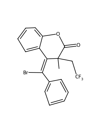 CC1(CC(F)(F)F)C(=O)Oc2ccccc2C1=C(Br)c1ccccc1